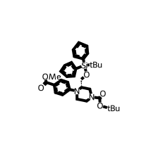 COC(=O)c1ccc(N2CCN(C(=O)OC(C)(C)C)C[C@H]2CO[Si](c2ccccc2)(c2ccccc2)C(C)(C)C)cc1